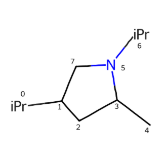 CC(C)C1CC(C)N(C(C)C)C1